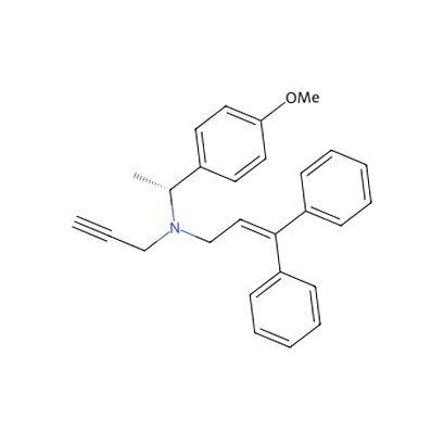 C#CCN(CC=C(c1ccccc1)c1ccccc1)[C@H](C)c1ccc(OC)cc1